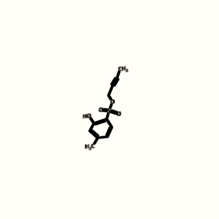 CC#CCOS(=O)(=O)c1ccc(C)cc1O